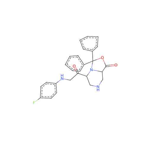 O=C(CNc1ccc(F)cc1)C1CNCC2C(=O)OC(c3ccccc3)(c3ccccc3)N12